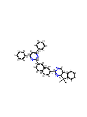 CC1(C)c2ccccc2-c2cnc(-c3ccc4ccc(-c5nc(-c6ccccc6)cc(-c6ccccc6)n5)cc4c3)nc21